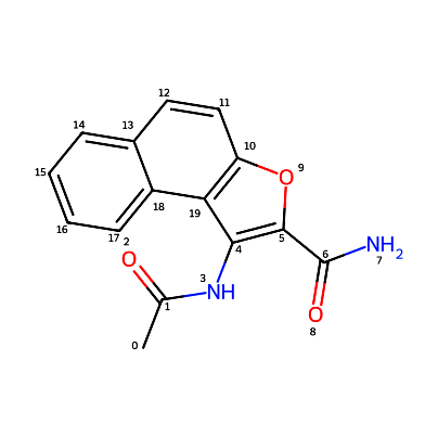 CC(=O)Nc1c(C(N)=O)oc2ccc3ccccc3c12